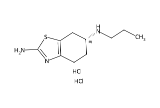 CCCN[C@@H]1CCc2nc(N)sc2C1.Cl.Cl